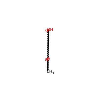 CCCCCCCCCCCC(=O)OCCCCCCCCCCCCCCCCCCCCCCCCCCC(=O)O